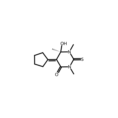 CN1C(=O)C(=C2CCCC2)[C@@](C)(O)N(C)C1=S